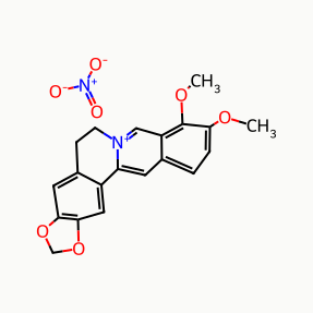 COc1ccc2cc3[n+](cc2c1OC)CCc1cc2c(cc1-3)OCO2.O=[N+]([O-])[O-]